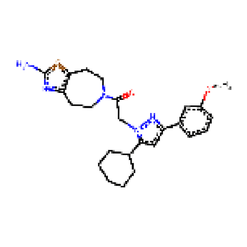 COc1cccc(-c2cc(C3CCCCC3)n(CC(=O)N3CCc4nc(N)sc4CC3)n2)c1